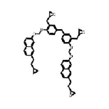 c1cc2ccc(OCOc3ccc(Cc4ccc(OCOc5ccc6ccc(CCC7CO7)cc6c5)c(CC5CO5)c4)cc3CC3CO3)cc2cc1CCC1CC1